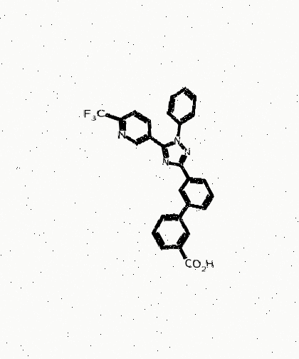 O=C(O)c1cccc(-c2cccc(-c3nc(-c4ccc(C(F)(F)F)nc4)n(-c4ccccc4)n3)c2)c1